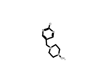 CN1CCN(Cc2cnc(Cl)nc2)CC1